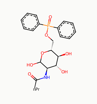 CCCC(=O)N[C@H]1C(O)O[C@H](COP(=O)(c2ccccc2)c2ccccc2)[C@@H](O)[C@@H]1O